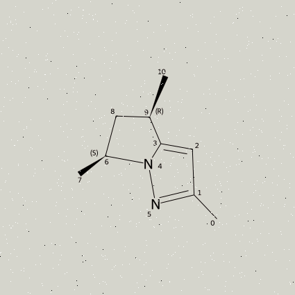 Cc1cc2n(n1)[C@@H](C)C[C@H]2C